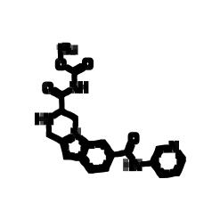 CC(C)(C)OC(=O)NC(=O)C1Cn2c(cc3ccc(C(=O)Nc4cccnc4)cc32)CN1